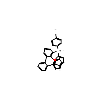 O=P(c1ccc(F)cc1)(c1ccc(F)cc1)c1cccc2c3ccccc3c3ccccc3c12